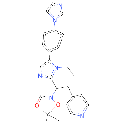 CCn1c(-c2ccc(-n3ccnc3)cc2)cnc1C(Cc1ccncc1)N(C=O)OC(C)(C)C